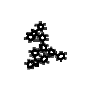 c1ccc(-c2ccc(-c3cc(-c4cccc(-c5c(-c6ccccc6)nc6ccccn56)c4)nc(-c4cccc(-c5c(-c6ccccc6)nc6ccccn56)c4)c3)cc2)cc1